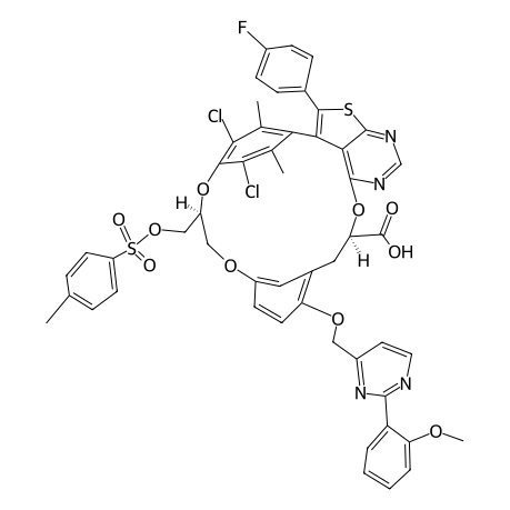 COc1ccccc1-c1nccc(COc2ccc3cc2C[C@H](C(=O)O)Oc2ncnc4sc(-c5ccc(F)cc5)c(c24)-c2c(C)c(Cl)c(c(Cl)c2C)O[C@H](COS(=O)(=O)c2ccc(C)cc2)CO3)n1